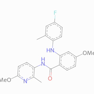 COc1ccc(C(=O)Nc2ccc(OC)nc2C)c(Nc2ccc(F)cc2C)c1